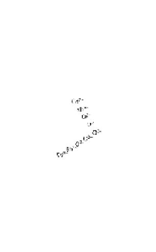 [Cd+2].[Cd+2].[O-2].[O-2].[O-2].[O-2].[O-2].[Rh+3].[Rh+3]